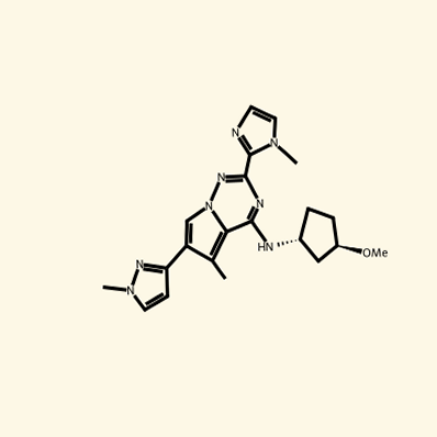 CO[C@@H]1CC[C@@H](Nc2nc(-c3nccn3C)nn3cc(-c4ccn(C)n4)c(C)c23)C1